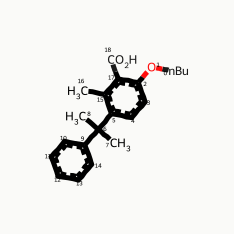 CCCCOc1ccc(C(C)(C)c2ccccc2)c(C)c1C(=O)O